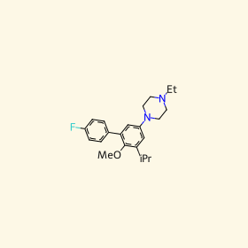 CCN1CCN(c2cc(-c3ccc(F)cc3)c(OC)c(C(C)C)c2)CC1